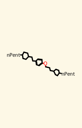 CCCCCC1CCC(CCCOc2ccc(CCC3CCC(CCCCC)CC3)cc2)CC1